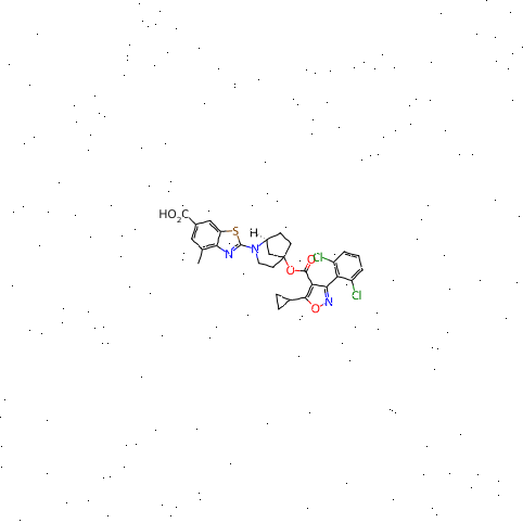 Cc1cc(C(=O)O)cc2sc(N3CCC4(OC(=O)c5c(-c6c(Cl)cccc6Cl)noc5C5CC5)CC[C@H]3C4)nc12